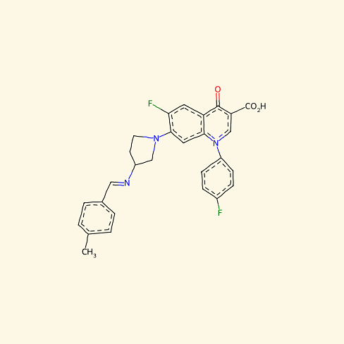 Cc1ccc(C=NC2CCN(c3cc4c(cc3F)c(=O)c(C(=O)O)cn4-c3ccc(F)cc3)C2)cc1